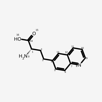 N[C@@H](CCc1ccc2ncccc2c1)C(=O)O